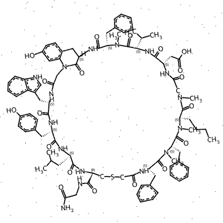 CCCC[C@H]1C(=O)N(C)CC(=O)N[C@@H](CC(=O)O)C(=O)N[C@@H](C(C)C)C(=O)N(C)[C@@H](Cc2ccccc2)C(=O)N[C@H]2Cc3ccc(O)cc3N(CC(=O)N[C@@H](Cc3c[nH]c4ccccc34)C(=O)N[C@@H](Cc3ccc(O)cc3)C(=O)N[C@@H](CC(C)C)C(=O)N[C@H](C(=O)NCC(N)=O)CSCC(=O)N[C@@H](Cc3ccccc3)C(=O)N(C)[C@@H](Cc3ccccc3)C(=O)N1C)C2=O